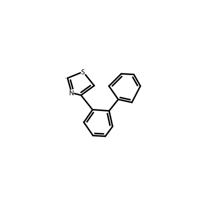 [c]1nc(-c2ccccc2-c2ccccc2)cs1